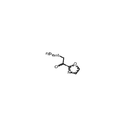 CCCCCCC(=O)c1ncco1